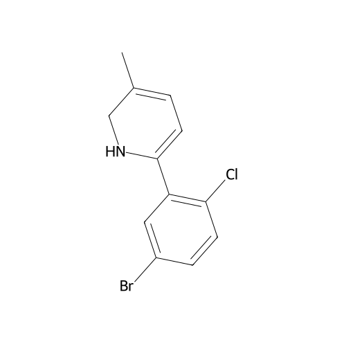 CC1=CC=C(c2cc(Br)ccc2Cl)NC1